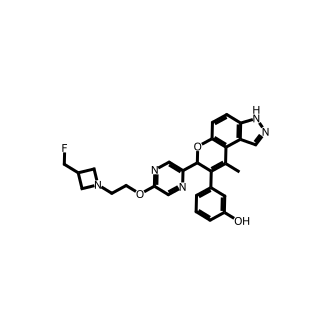 CC1=C(c2cccc(O)c2)C(c2cnc(OCCN3CC(CF)C3)cn2)Oc2ccc3[nH]ncc3c21